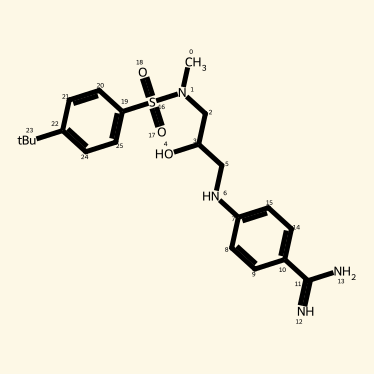 CN(CC(O)CNc1ccc(C(=N)N)cc1)S(=O)(=O)c1ccc(C(C)(C)C)cc1